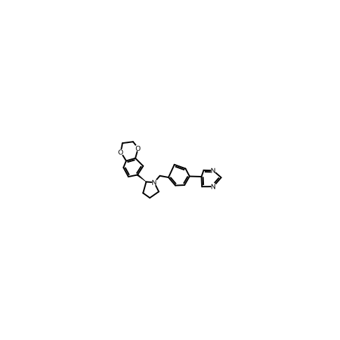 c1ncc(-c2ccc(CN3CCC[C@H]3c3ccc4c(c3)OCCO4)cc2)cn1